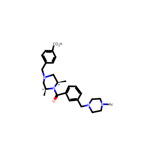 CC(=O)N1CCN(Cc2cccc(C(=O)N3[C@H](C)CN(Cc4ccc(C(=O)O)cc4)C[C@@H]3C)c2)CC1